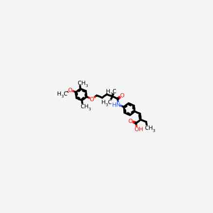 CCC(=Cc1ccc(NC(=O)C(C)(C)CCCOc2cc(C)c(OC)cc2C)cc1)C(=O)O